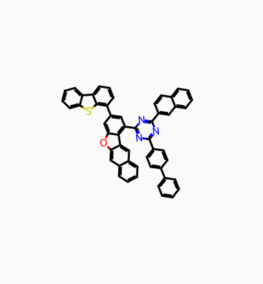 c1ccc(-c2ccc(-c3nc(-c4ccc5ccccc5c4)nc(-c4cc(-c5cccc6c5sc5ccccc56)cc5oc6cc7ccccc7cc6c45)n3)cc2)cc1